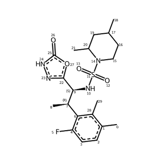 Cc1ccc(F)c([C@@H](C)[C@H](NS(=O)(=O)N2CCC(C)CC2C)c2n[nH]c(=O)o2)c1C